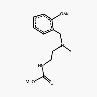 COC(=O)NCCN(C)Cc1ccccc1OC